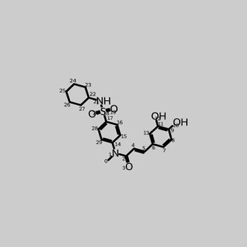 CN(C(=O)/C=C/c1ccc(O)c(O)c1)c1ccc(S(=O)(=O)NC2CCCCC2)cc1